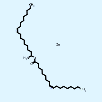 CCCCCCCC/C=C\CCCCCCCC(=O)OC(N)CCCCCCC/C=C\CCCCCCCC.[Zn]